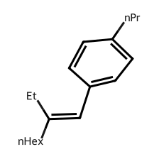 [CH2]CCCCCC(=Cc1ccc(CCC)cc1)CC